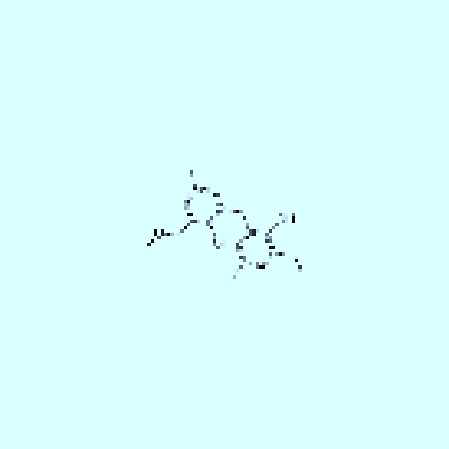 COCc1cc(C)cc(Cc2cc(C)cc(CI)c2O)c1O